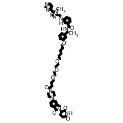 C[C@@H](NC(=O)c1cccc(NCc2nnc(-c3ccncn3)n2C)c1)c1cccc(OCCCCCCOCCOCCOCCCC(=O)N2CCN(c3ccc4c(c3)CN(C3CCC(=O)NC3=O)C4=O)CC2)c1